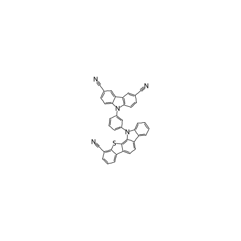 N#Cc1ccc2c(c1)c1cc(C#N)ccc1n2-c1cccc(-n2c3ccccc3c3ccc4c5cccc(C#N)c5sc4c32)c1